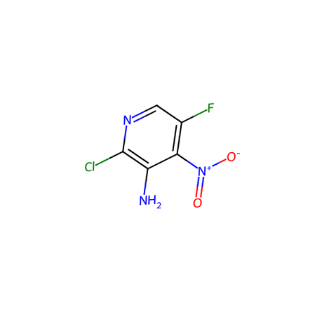 Nc1c(Cl)ncc(F)c1[N+](=O)[O-]